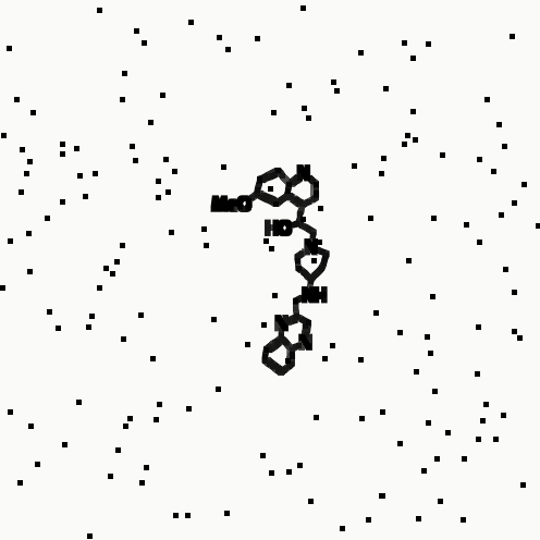 COc1ccc2nccc(C(O)CN3CCC(NCc4cnc5ccccc5n4)CC3)c2c1